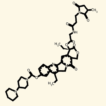 CCc1c2c(nc3ccc(OC(=O)N4CCC(N5CCCCC5)CC4)cc13)-c1cc3c(c(=O)n1C2)COC(=O)[C@@]3(CC)OC(=O)CNC(=O)CCN1C(=O)CC(C)C1=O